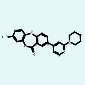 Cc1ccc2c(c1)NC(=O)c1cc(-c3ccnc(N4CCCCC4)c3)ccc1O2